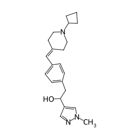 Cn1cc(C(O)Cc2ccc(C=C3CCN(C4CCC4)CC3)cc2)cn1